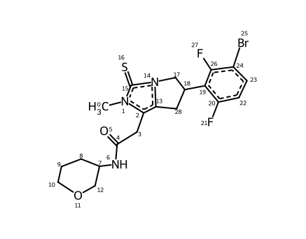 Cn1c(CC(=O)NC2CCCOC2)c2n(c1=S)CC(c1c(F)ccc(Br)c1F)C2